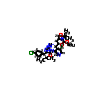 C=C(C)[C@H](c1ccc(Cl)cc1)[C@H](N=[N+]=[N-])C(=O)Nc1cncc(F)c1CCC[C@H]1COC(C)(C)N1C(=O)OC(C)(C)C